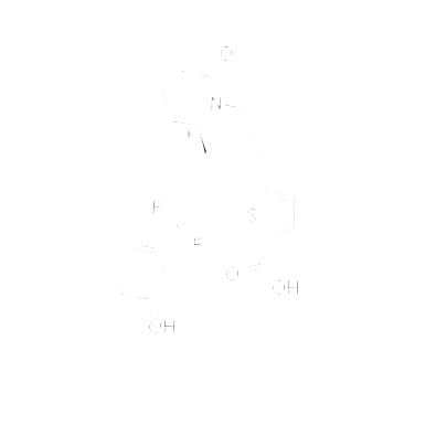 O=C(O)c1ccc(C#CCN2C(=O)CCC[C@@H]2C=CCC(F)(F)c2cccc(O)c2)s1